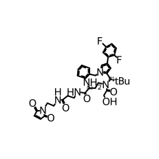 CC(C)(C)[C@H](c1cc(-c2cc(F)ccc2F)cn1Cc1ccccc1)N(CC[C@H](N)C(=O)NCCC(=O)NCCN1C(=O)C=CC1=O)C(=O)CO